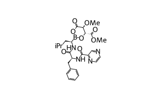 COC(=O)[C@@H]1OB([C@H](CC(C)C)NC(=O)[C@H](Cc2ccccc2)NC(=O)c2cnccn2)OC(=O)[C@H]1OC